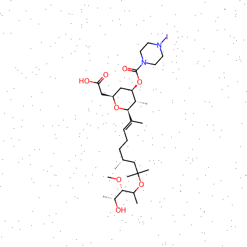 CO[C@H](C(C)OC(C)(C)C[C@H](C)CC/C=C(\C)[C@H]1O[C@@H](CC(=O)O)C[C@@H](OC(=O)N2CCN(I)CC2)[C@@H]1C)[C@@H](C)O